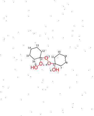 OOC1(OOC2(O)CCCCC2)CCCCC1